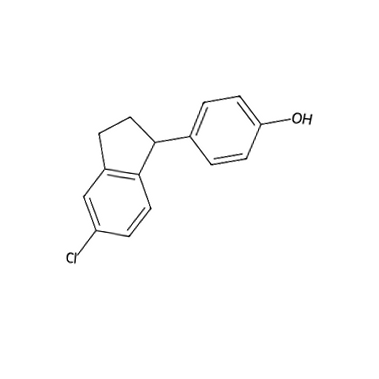 Oc1ccc(C2CCc3cc(Cl)ccc32)cc1